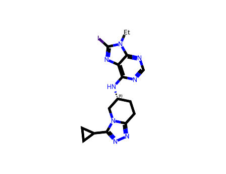 CCn1c(I)nc2c(N[C@@H]3CCc4nnc(C5CC5)n4C3)ncnc21